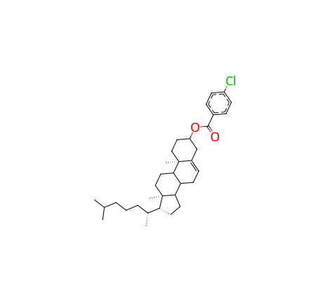 CC(C)CCC[C@@H](C)[C@H]1CCC2C3CC=C4CC(OC(=O)c5ccc(Cl)cc5)CC[C@]4(C)C3CC[C@@]21C